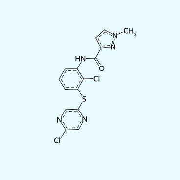 Cn1ccc(C(=O)Nc2cccc(Sc3cnc(Cl)cn3)c2Cl)n1